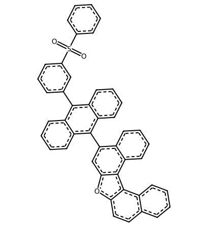 O=S(=O)(c1ccccc1)c1cccc(-c2c3ccccc3c(-c3cc4oc5ccc6ccccc6c5c4c4ccccc34)c3ccccc23)c1